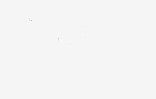 NC(=O)C[C@@H](NC(=O)CCCC1CCCC1)C(=O)NCCc1ccccc1